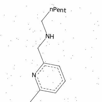 CCCCCCNCc1cccc(C)n1